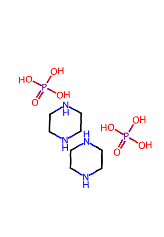 C1CNCCN1.C1CNCCN1.O=P(O)(O)O.O=P(O)(O)O